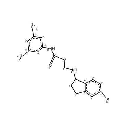 O=C(CCNC1CCc2cc(Br)ccc21)Nc1cc(C(F)(F)F)cc(C(F)(F)F)c1